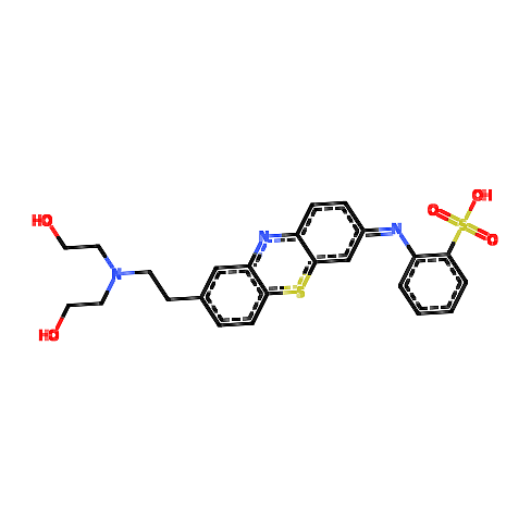 O=S(=O)(O)c1ccccc1/N=c1/ccc2nc3cc(CCN(CCO)CCO)ccc3sc-2c1